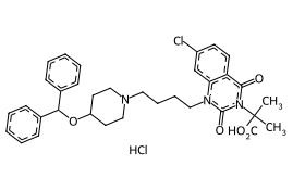 CC(C)(C(=O)O)n1c(=O)c2ccc(Cl)cc2n(CCCCN2CCC(OC(c3ccccc3)c3ccccc3)CC2)c1=O.Cl